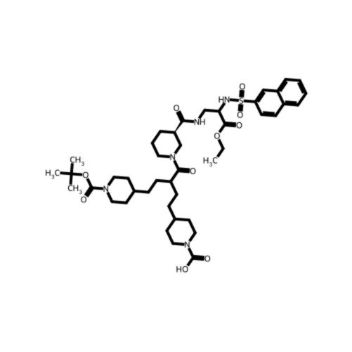 CCOC(=O)C(CNC(=O)[C@@H]1CCCN(C(=O)C(CCC2CCN(C(=O)O)CC2)CCC2CCN(C(=O)OC(C)(C)C)CC2)C1)NS(=O)(=O)c1ccc2ccccc2c1